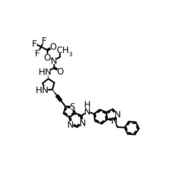 CCN(OC(=O)C(F)(F)F)C(=O)N[C@H]1CN[C@H](C#Cc2cc3ncnc(Nc4ccc5c(cnn5Cc5ccccc5)c4)c3s2)C1